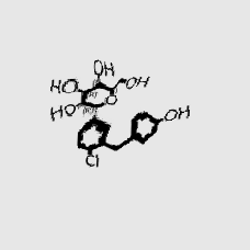 OC[C@H]1O[C@H](c2ccc(Cl)c(Cc3ccc(O)cc3)c2)[C@H](O)[C@@H](O)[C@@H]1O